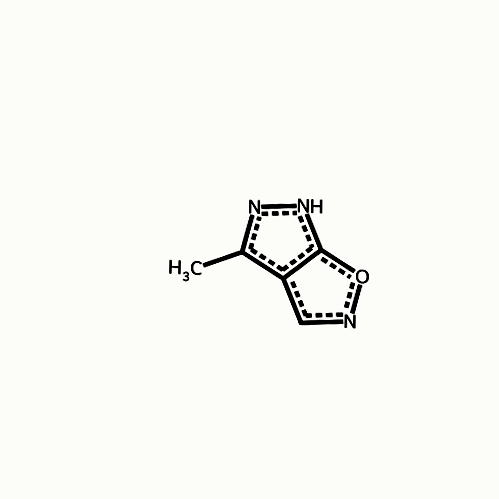 Cc1n[nH]c2oncc12